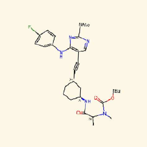 CNc1ncc(C#C[C@@H]2CCC[C@H](NC(=O)[C@H](C)N(C)C(=O)OC(C)(C)C)C2)c(Nc2ccc(F)cc2)n1